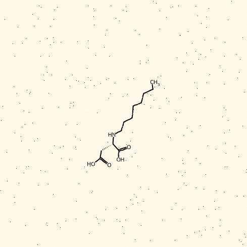 CCCCCCCCN[C@@H](CC(=O)O)C(=O)O